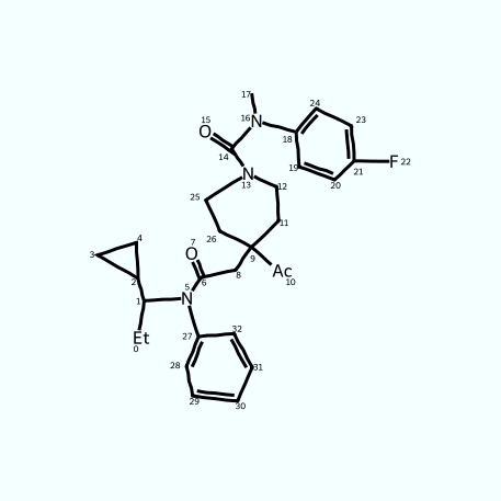 CCC(C1CC1)N(C(=O)CC1(C(C)=O)CCN(C(=O)N(C)c2ccc(F)cc2)CC1)c1ccccc1